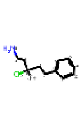 CCC(Cl)(CCN)CCc1ccccc1